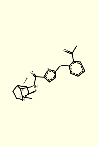 CC(=O)c1ccccc1Sc1ccc(C(=O)N[C@@H]2C3CCN(CC3)[C@H]2C)s1